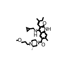 CC/C(C)=C\c1c(NCC2CC2)c2cc(C(=O)N3CCN(CCCOC)[C@@H](C)C3)c(C)cc2[nH]c1=O